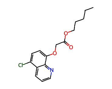 CCCCCOC(=O)COc1ccc(Cl)c2cccnc12